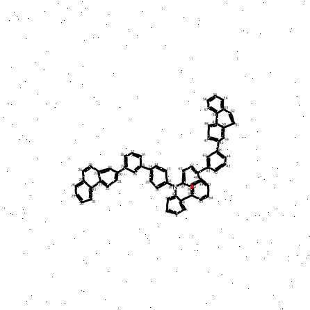 c1ccc(-c2ccccc2N(c2ccc(-c3cccc(-c4ccc5c(ccc6ccccc65)c4)c3)cc2)c2ccc(-c3cccc(-c4ccc5c(ccc6ccccc65)c4)c3)cc2)cc1